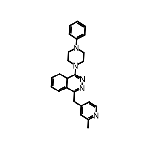 Cc1cc(CC2=NN=C(N3CCN(c4ccccc4)CC3)C3CC=CC=C23)ccn1